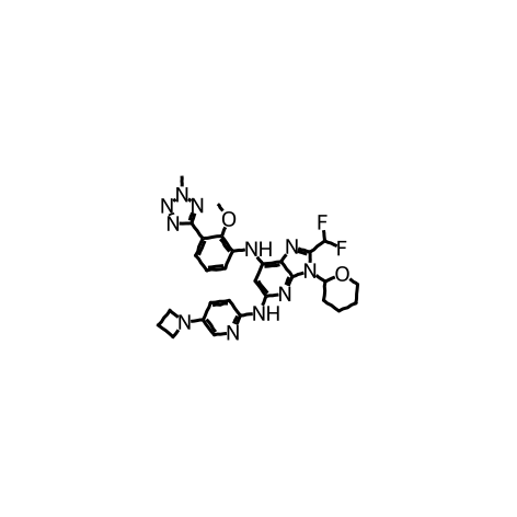 COc1c(Nc2cc(Nc3ccc(N4CCC4)cn3)nc3c2nc(C(F)F)n3C2CCCCO2)cccc1-c1nnn(C)n1